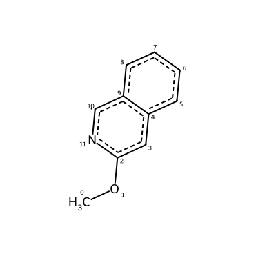 COc1cc2ccccc2[c]n1